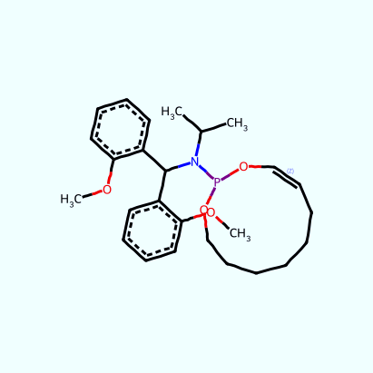 COc1ccccc1C(c1ccccc1OC)N(C(C)C)P1O/C=C\CCCCCCO1